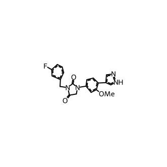 COc1cc(N2CC(=O)N(Cc3cccc(F)c3)C2=O)ccc1-c1cn[nH]c1